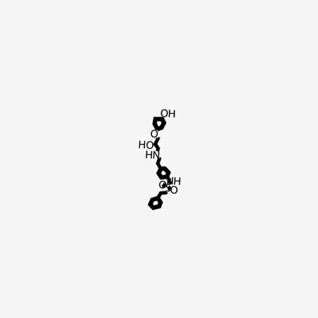 O=S(=O)(CCc1ccccc1)Nc1ccc(CCNC[C@H](O)COc2ccc(O)cc2)cc1